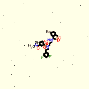 CCc1ccc2c(c1)C(NCC(O)CN(CCc1cc(F)cc(F)c1)S(=O)(=O)c1cccc(C(=O)N(C)C)c1)CS(=O)(=O)C2